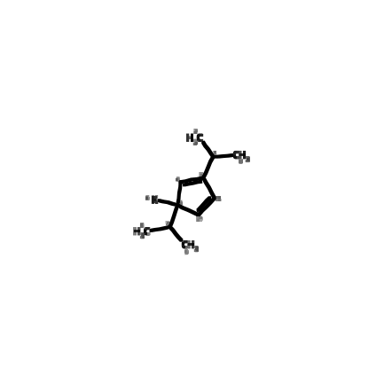 CC(C)C1=C[C]([K])(C(C)C)C=C1